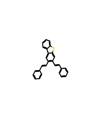 C(=Cc1cc2sc3ccccc3c2cc1C=Cc1ccccc1)c1ccccc1